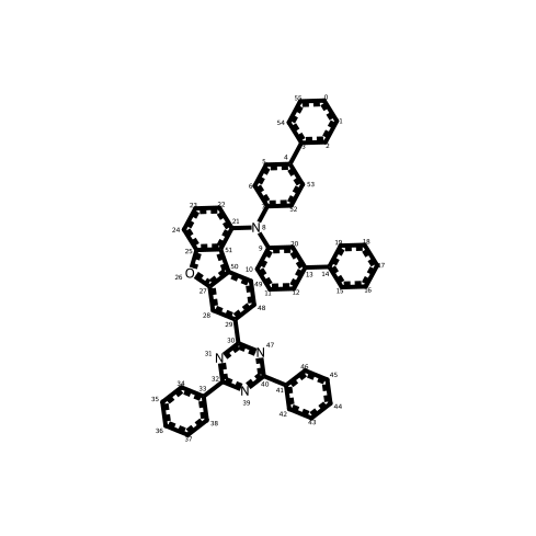 c1ccc(-c2ccc(N(c3cccc(-c4ccccc4)c3)c3cccc4oc5cc(-c6nc(-c7ccccc7)nc(-c7ccccc7)n6)ccc5c34)cc2)cc1